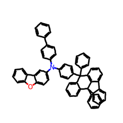 c1ccc(-c2ccc(N(c3ccc(C4(c5ccccc5)c5ccccc5C5(c6ccccc6)c6ccccc6-c6cccc4c65)cc3)c3ccc4oc5ccccc5c4c3)cc2)cc1